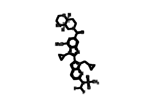 COc1cc(C(=O)N2CC[C@@H]3OCCN[C@@H]3C2)cc2nc(-c3cc4ccc(N(C(F)F)S(C)(=O)=O)nc4n3CC3CC3)n(C3CC3)c12